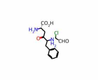 NC(Cc1ccccc1)C(=O)C[C@H](N)C(=O)O.O=CCCl